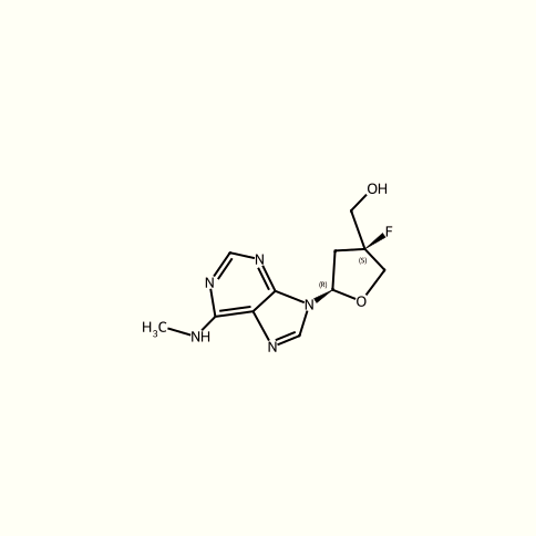 CNc1ncnc2c1ncn2[C@H]1C[C@](F)(CO)CO1